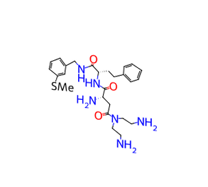 CSc1cccc(CNC(=O)[C@H](CCc2ccccc2)NC(=O)[C@@H](N)CC(=O)N(CCN)CCN)c1